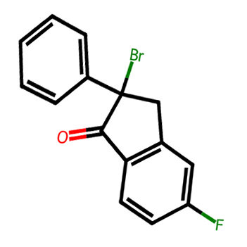 O=C1c2ccc(F)cc2CC1(Br)c1ccccc1